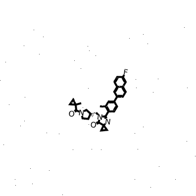 Cc1cc(-c2ccc3cc(F)ccc3c2)ccc1C1=NC2(CC2)C(=O)N1C[C@@H]1CCN(C(=O)C2(C)CC2)C1